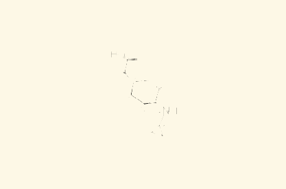 O=C(O)C[C@H]1CC[C@H](NC2CC2)CC1